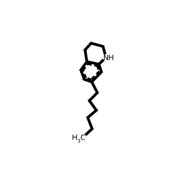 CCCCCCc1[c]cc2c(c1)NCCC2